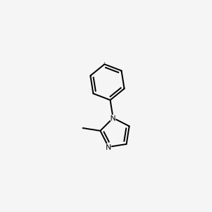 Cc1nccn1-c1cc[c]cc1